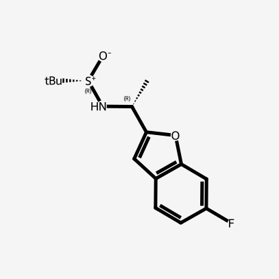 C[C@@H](N[S@@+]([O-])C(C)(C)C)c1cc2ccc(F)cc2o1